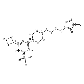 Cn1ccc(SCCCN2CCN(c3cc(C4CCC4)nc(C(C)(C)C)n3)CC2)n1